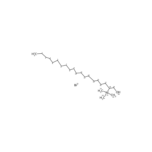 CCCCCCCCCCCCCCCCCCC(CO)[N+](C)(C)C.[Br-]